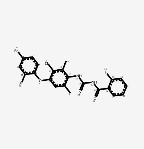 Cc1cc(Oc2ccc(Br)cc2Br)c(Cl)c(C)c1NC(=S)NC(=O)c1ccccc1F